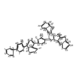 c1ccc(-c2ccc(-c3ccc(-c4ccc(-c5cc6c7cc8ccccc8cc7sc6c6nc7ccccc7n56)cc4)c4ccccc34)cc2)cc1